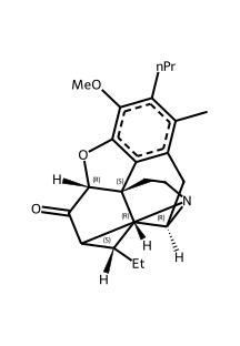 CCCc1c(C)c2c3c(c1OC)O[C@H]1C(=O)C4[C@@H](CC)[C@H]5[C@@H](C2)N4CC[C@@]351